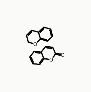 C1=Cc2ccccc2OC1.O=c1ccc2ccccc2o1